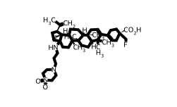 C=C(C)[C@@H]1CCC2(NCCCN3CCS(=O)(=O)CC3)CC[C@]3(C)[C@H](CC[C@@H]4[C@@]5(C)CC=C(C6=CC[C@@](CF)(C(=O)O)CC6)C(C)(C)[C@@H]5CC[C@]43C)[C@@H]12